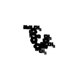 CNC(=O)[C@@H](C)Cn1cnc2ccc(-c3cnc(C)c(NS(=O)(=O)c4sc(C)nc4C)c3)cc2c1=O